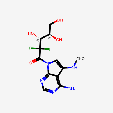 Nc1ncnc2c1c(NC=O)cn2C(=O)C(F)(F)[C@H](O)[C@H](O)CO